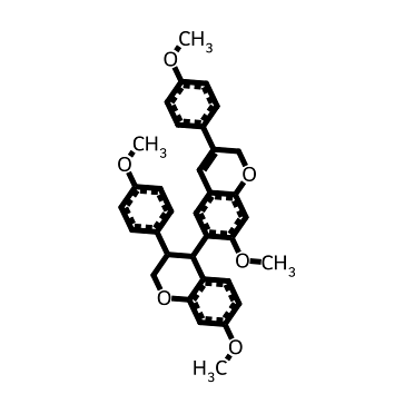 COc1ccc(C2=Cc3cc(C4c5ccc(OC)cc5OCC4c4ccc(OC)cc4)c(OC)cc3OC2)cc1